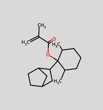 C=C(C)C(=O)OC1(C2CC3CCC2C3)C(C)CCCC1C